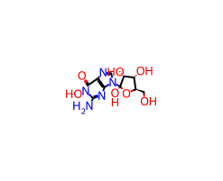 Nc1nc2c(ncn2[C@]2(O)O[C@H](CO)[C@@H](O)[C@H]2O)c(=O)n1O